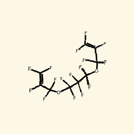 FC(F)=C(F)C(F)(F)OC(F)(F)C(F)(F)C(F)(F)OC(F)(F)C(F)=C(F)F